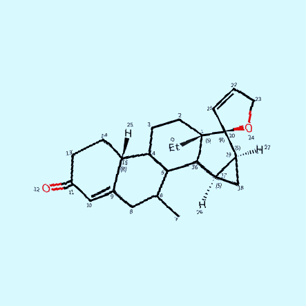 CC[C@]12CCC3C(C(C)CC4=CC(=O)CC[C@@H]43)C1[C@@H]1C[C@@H]1[C@@]21C=CCO1